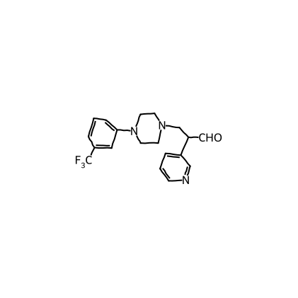 O=CC(CN1CCN(c2cccc(C(F)(F)F)c2)CC1)c1cccnc1